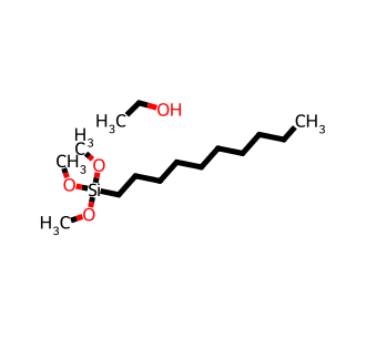 CCCCCCCCCC[Si](OC)(OC)OC.CCO